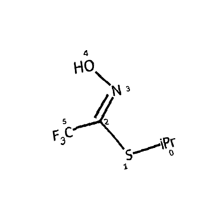 CC(C)SC(=NO)C(F)(F)F